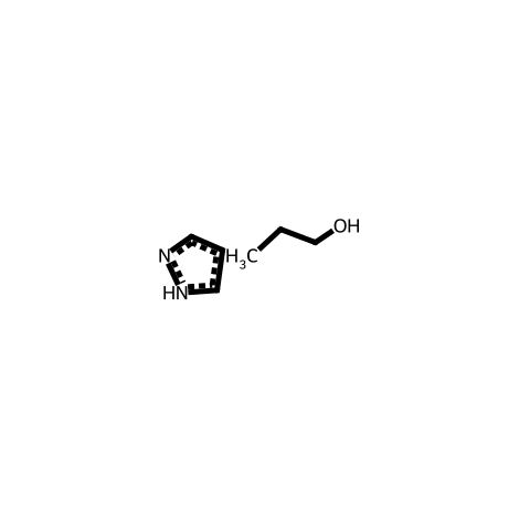 CCCO.c1cn[nH]c1